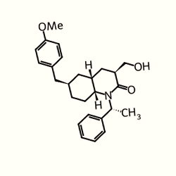 COc1ccc(C[C@@H]2CC[C@@H]3[C@H](C2)C[C@@H](CO)C(=O)N3[C@H](C)c2ccccc2)cc1